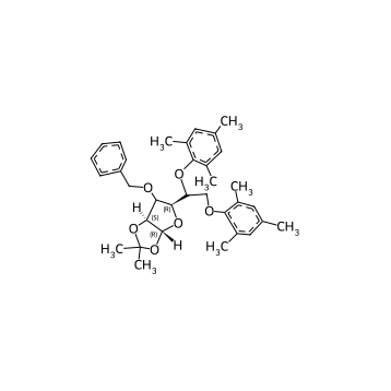 Cc1cc(C)c(OCC(Oc2c(C)cc(C)cc2C)[C@H]2O[C@@H]3OC(C)(C)O[C@H]3C2OCc2ccccc2)c(C)c1